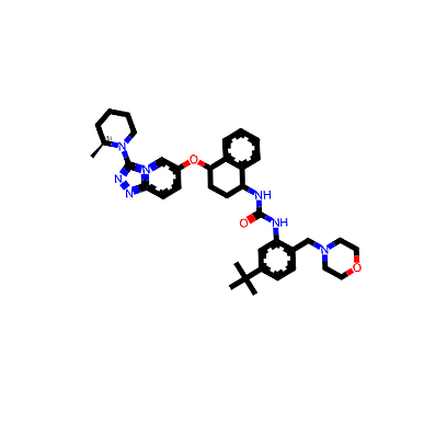 C[C@H]1CCCCN1c1nnc2ccc(OC3CCC(NC(=O)Nc4cc(C(C)(C)C)ccc4CN4CCOCC4)c4ccccc43)cn12